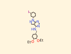 CCOc1ccc(CNc2ncnc3c2cnn3-c2cccc(I)c2)cc1OCC